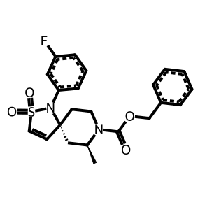 C[C@H]1C[C@@]2(C=CS(=O)(=O)N2c2cccc(F)c2)CCN1C(=O)OCc1ccccc1